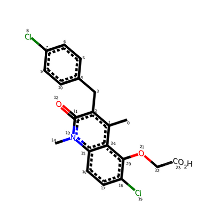 Cc1c(Cc2ccc(Cl)cc2)c(=O)n(C)c2ccc(Cl)c(OCC(=O)O)c12